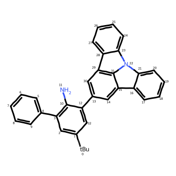 CC(C)(C)c1cc(-c2ccccc2)c(N)c(-c2cc3c4ccccc4n4c5ccccc5c(c2)c34)c1